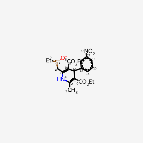 CCOC(=O)C1=C(C)NC(C[S+]([O-])CC)=C(C(=O)OCC)C1c1cccc([N+](=O)[O-])c1